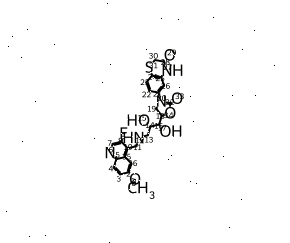 COc1ccc2ncc(F)c(CNC[C@H](O)[C@@H](O)C3CN(c4ccc5c(c4)NC(=O)CS5)C(=O)O3)c2c1